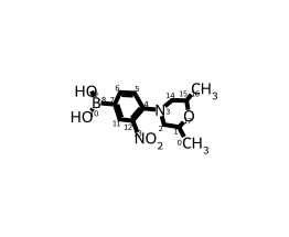 CC1CN(c2ccc(B(O)O)cc2[N+](=O)[O-])CC(C)O1